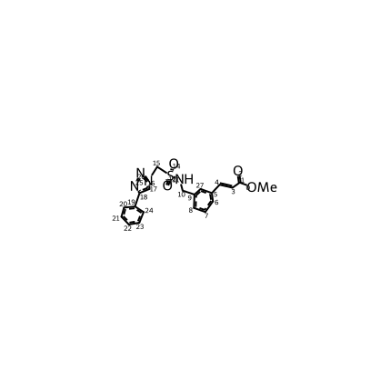 COC(=O)/C=C/c1cccc(CNS(=O)(=O)Cn2cc(-c3ccccc3)nn2)c1